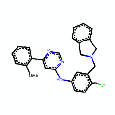 COc1ccccc1-c1cc(Nc2ccc(Cl)c(CN3Cc4ccccc4C3)c2)ncn1